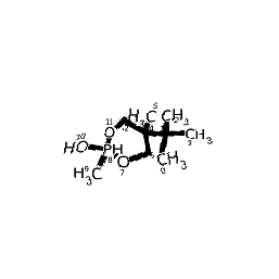 CC(C)(C)C1(C)CO[PH](C)(O)OC1